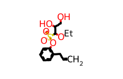 C=CCc1ccccc1OS(=O)(=O)C(OCC)C(O)CO